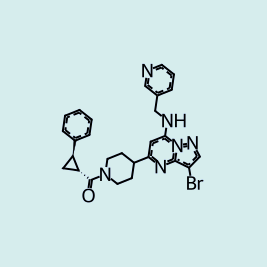 O=C([C@@H]1C[C@H]1c1ccccc1)N1CCC(c2cc(NCc3cccnc3)n3ncc(Br)c3n2)CC1